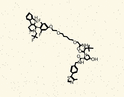 Cc1ncsc1-c1ccc(CNC(=O)[C@@H]2C[C@@H](O)CN2C(=O)[C@@H](NC(=O)COCCCCCOCCOc2cc(F)c([C@@H]3c4[nH]c5ccccc5c4C[C@@H](C)N3CC(C)(C)F)c(F)c2)C(C)(C)C)cc1